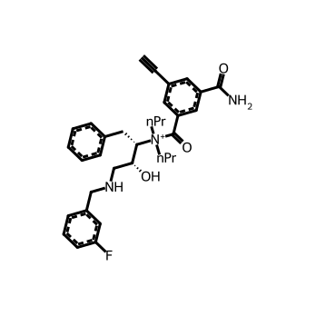 C#Cc1cc(C(N)=O)cc(C(=O)[N+](CCC)(CCC)[C@@H](Cc2ccccc2)[C@H](O)CNCc2cccc(F)c2)c1